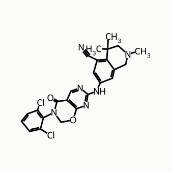 CN1Cc2cc(Nc3ncc4c(n3)OCN(c3c(Cl)cccc3Cl)C4=O)cc(C#N)c2C(C)(C)C1